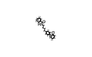 O=C(NCCCCc1ccc(-n2ncccc2=O)cc1)c1cccnc1